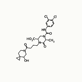 CC1C(=O)N(CCCC(=O)N2CCC3(CC3)C(O)C2)C(C(=O)O)CN1C(=O)Nc1ccc(Cl)c(Cl)c1